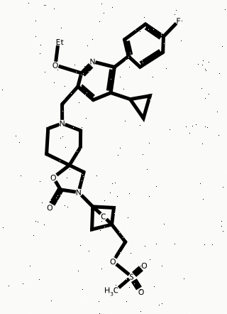 CCOc1nc(-c2ccc(F)cc2)c(C2CC2)cc1CN1CCC2(CC1)CN(C13CC(COS(C)(=O)=O)(C1)C3)C(=O)O2